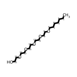 CCCCCCCOCCOCCOCCOCCOCCO